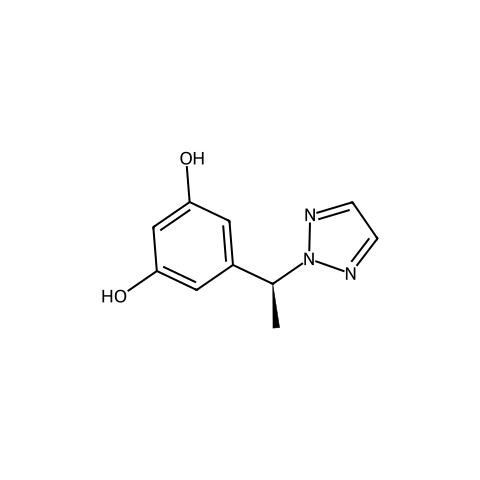 C[C@@H](c1cc(O)cc(O)c1)n1nccn1